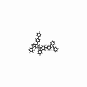 c1ccc(-c2ccc(-c3nc(-n4c5ccccc5c5cc(-c6ccc7c(c6)c6ccccc6n7-c6ccccc6)ccc54)nc4c3ccn4-c3ccccc3)cc2)cc1